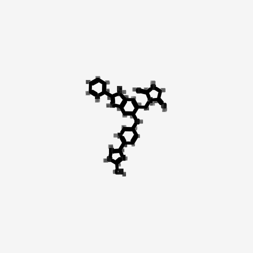 Cc1nc(-c2ccc(Oc3cc4nc(-c5ccccn5)[nH]c4cc3CN3C(=O)COC3=O)cn2)no1